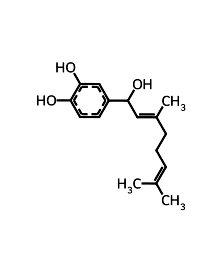 CC(C)=CCC/C(C)=C/C(O)c1ccc(O)c(O)c1